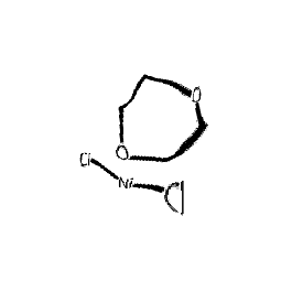 C1COCCO1.[Cl][Ni][Cl]